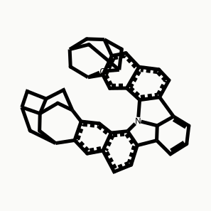 C1=CC2c3ccc4cc5c(cc4c3N3c4c(ccc6cc7c(cc46)C4CC6CC(CC7C6)C4)C(=C1)C23)C1CC2CC3CC5CC32C1